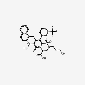 NC(=O)c1c(Cc2cccc3ccccc23)c(-c2cccc(C(F)(F)F)c2)c2n(c1=O)C(C(=O)O)CN(CCCO)S2(=O)=O